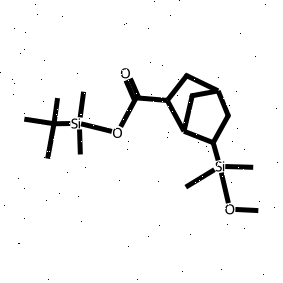 CO[Si](C)(C)C1CC2CC(C(=O)O[Si](C)(C)C(C)(C)C)C1C2